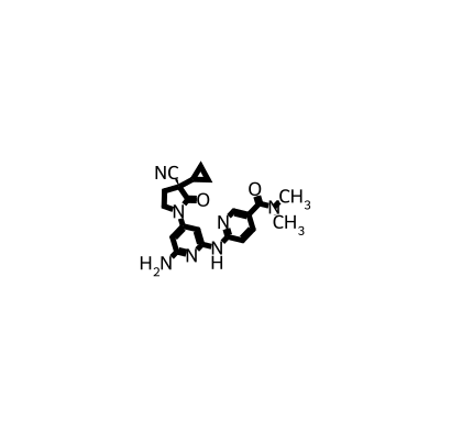 CN(C)C(=O)c1ccc(Nc2cc(N3CC[C@@](C#N)(C4CC4)C3=O)cc(N)n2)nc1